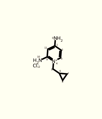 Nc1cc[n+](CC2CC2)c(N)c1.[Cl-]